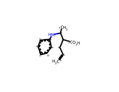 C=CCC(C(=O)O)C(C)Nc1ccccc1